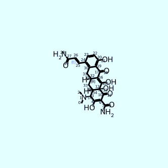 CN(C)[C@@H]1C(O)=C(C(N)=O)C(=O)[C@@]2(O)C(O)=C3C(=O)c4c(O)ccc(/C=C/C(N)=O)c4C[C@H]3C[C@@H]12